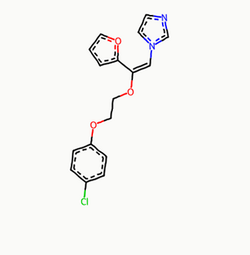 Clc1ccc(OCCOC(=Cn2ccnc2)c2ccco2)cc1